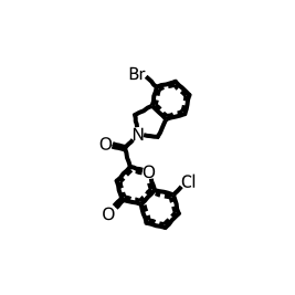 O=C(c1cc(=O)c2cccc(Cl)c2o1)N1Cc2cccc(Br)c2C1